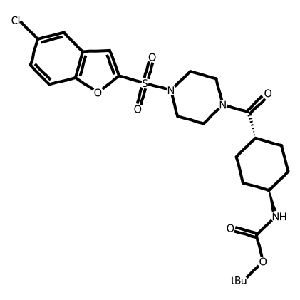 CC(C)(C)OC(=O)N[C@H]1CC[C@H](C(=O)N2CCN(S(=O)(=O)c3cc4cc(Cl)ccc4o3)CC2)CC1